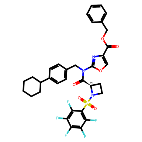 O=C(OCc1ccccc1)c1coc(N(Cc2ccc(C3CCCCC3)cc2)C(=O)[C@H]2CCN2S(=O)(=O)c2c(F)c(F)c(F)c(F)c2F)n1